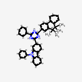 CC1(C)c2ccccc2-c2ccc(-c3nc(-c4ccccc4)nc(-c4ccc5c6ccccc6n(-c6ccccc6)c5c4)n3)cc2C1(C)C